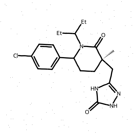 CCC(CC)N1C(=O)[C@@](C)(Cc2n[nH]c(=O)[nH]2)CCC1c1ccc(Cl)cc1